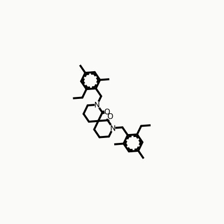 CCc1cc(C)cc(C)c1CN1CCCC2(CCCN(Cc3c(C)cc(C)cc3CC)C2=O)C1=O